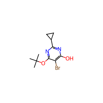 CC(C)(C)Oc1nc(C2CC2)nc(O)c1Br